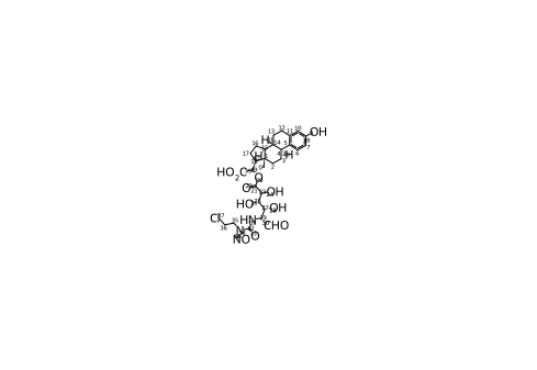 C[C@]12CC[C@@H]3c4ccc(O)cc4CC[C@H]3[C@@H]1CC[C@@H]2C(OC(=O)[C@@H](O)[C@@H](O)[C@H](O)[C@H](C=O)NC(=O)N(CCCl)N=O)C(=O)O